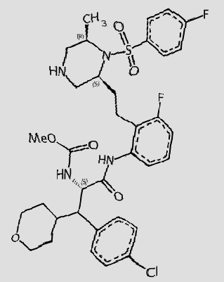 COC(=O)N[C@H](C(=O)Nc1cccc(F)c1CC[C@H]1CNC[C@@H](C)N1S(=O)(=O)c1ccc(F)cc1)C(c1ccc(Cl)cc1)C1CCOCC1